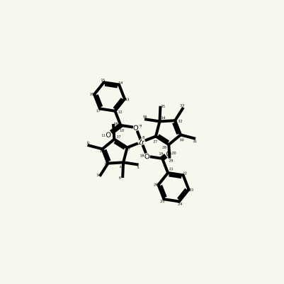 CC1=C(C)C(C)(C)[C]([Zr]([O]C(=O)c2ccccc2)([O]C(=O)c2ccccc2)[C]2=C(C)C(C)=C(C)C2(C)C)=C1C